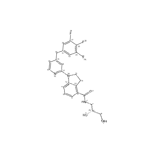 O=C(NC[C@@H](O)CO)c1cccc2c1CCN2c1cc(Cc2cc(F)c(F)c(F)c2)ccn1